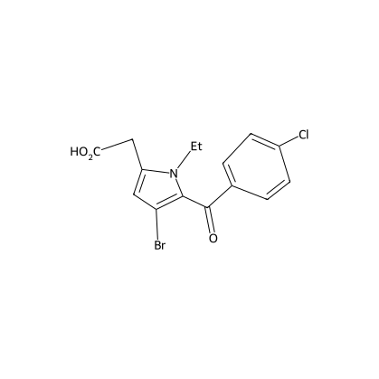 CCn1c(CC(=O)O)cc(Br)c1C(=O)c1ccc(Cl)cc1